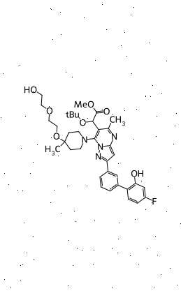 COC(=O)C(OC(C)(C)C)c1c(C)nc2cc(-c3cccc(-c4ccc(F)cc4O)c3)nn2c1N1CCC(C)(OCCOCCO)CC1